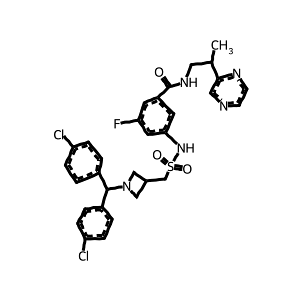 CC(CNC(=O)c1cc(F)cc(NS(=O)(=O)CC2CN(C(c3ccc(Cl)cc3)c3ccc(Cl)cc3)C2)c1)c1cnccn1